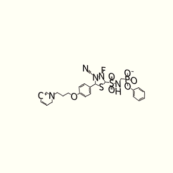 N#CN1C(c2ccc(OCCCN3C=[C+]C=CC3)cc2)SC(S(=O)(=O)NCP(=O)([O-])Oc2ccccc2)N1F